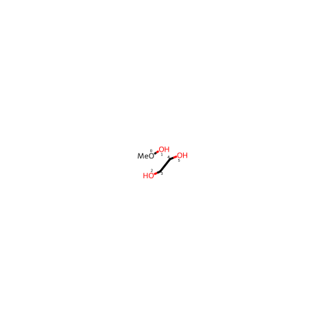 COO.OCCO